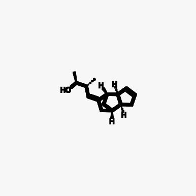 C[C@H](O)[C@H](C)/C=C1/C[C@@H]2C[C@H]1[C@H]1C=CC[C@@H]21